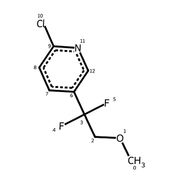 COCC(F)(F)c1ccc(Cl)nc1